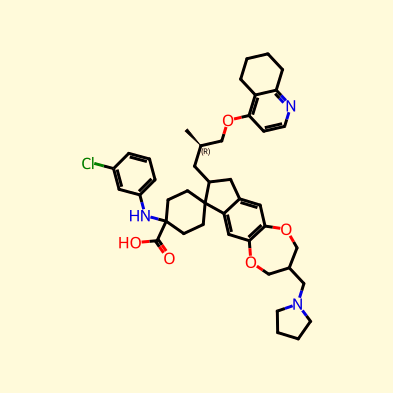 C[C@@H](COc1ccnc2c1CCCC2)CC1Cc2cc3c(cc2C12CCC(Nc1cccc(Cl)c1)(C(=O)O)CC2)OCC(CN1CCCC1)CO3